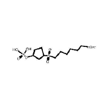 CCCCCCCCCCCCCCCCS(=O)(=O)C1CCC(OP(=O)(O)O)C1